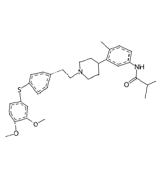 COc1ccc(Sc2ccc(CCN3CCC(c4cc(NC(=O)C(C)C)ccc4C)CC3)cc2)cc1OC